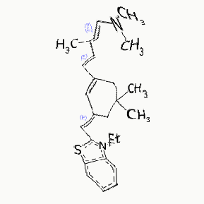 CC[n+]1c(/C=C2C=C(/C=C/C(C)=C\N(C)C)CC(C)(C)C/2)sc2ccccc21